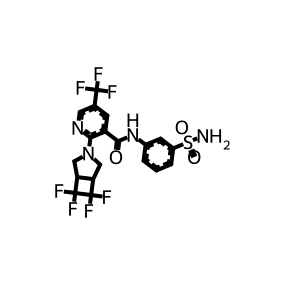 NS(=O)(=O)c1cccc(NC(=O)c2cc(C(F)(F)F)cnc2N2CC3C(C2)C(F)(F)C3(F)F)c1